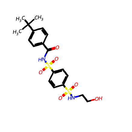 CC(C)(C)c1ccc(C(=O)NS(=O)(=O)c2ccc(S(=O)(=O)NCCO)cc2)cc1